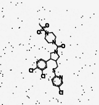 CS(=O)(=O)N1CCN(C(=O)N2CC(CSc3ccc(Cl)cn3)C(c3ccc(Cl)c(Cl)c3)C2)CC1